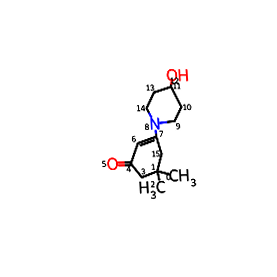 CC1(C)CC(=O)C=C(N2CCC(O)CC2)C1